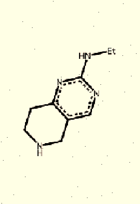 CCNc1ncc2c(n1)CCNC2